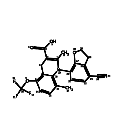 CC1=C(C(=O)O)Cc2c(OC(F)(F)F)ncc(C)c2N1c1ccc(C#N)c2c1OCC2